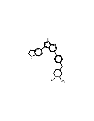 CC(=O)N1CCN(Cc2ccc(-c3cnc4[nH]cc(-c5ccc6c(c5)CCN6)c4c3)cc2)CC1C